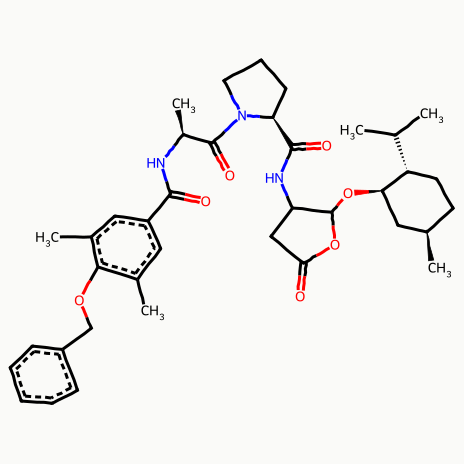 Cc1cc(C(=O)N[C@@H](C)C(=O)N2CCC[C@H]2C(=O)NC2CC(=O)OC2O[C@@H]2C[C@H](C)CC[C@H]2C(C)C)cc(C)c1OCc1ccccc1